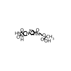 CC(OCCNC(=O)c1ccc(N2CCC3(CC2)NC(=O)NC3=O)nc1)C(=O)O